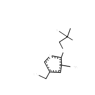 COc1cc(CN)cnc1OCC(C)(F)F